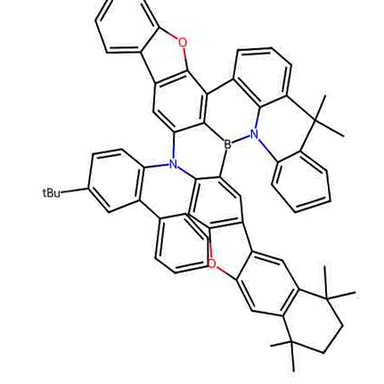 CC(C)(C)c1ccc(N2c3cc4oc5cc6c(cc5c4cc3B3c4c2cc2c(oc5ccccc52)c4-c2cccc4c2N3c2ccccc2C4(C)C)C(C)(C)CCC6(C)C)c(-c2ccccc2)c1